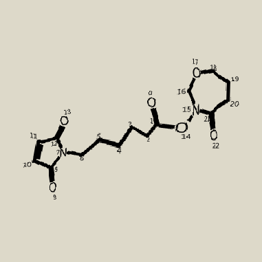 O=C(CCCCCN1C(=O)C=CC1=O)ON1COCCCC1=O